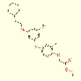 CCOC(=O)COc1ccc(Sc2cc(Br)cc(OCCC3CCCCC3)c2)cc1C